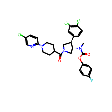 CN(C(=O)Oc1ccc(F)cc1)[C@@H]1CN(C(=O)C2CCN(c3ccc(Cl)cn3)CC2)C[C@H]1c1ccc(Cl)c(Cl)c1